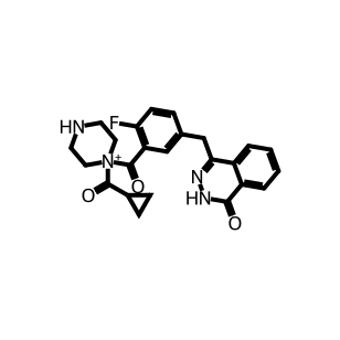 O=C(c1cc(Cc2n[nH]c(=O)c3ccccc23)ccc1F)[N+]1(C(=O)C2CC2)CCNCC1